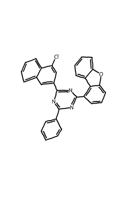 Clc1cc(-c2nc(-c3ccccc3)nc(-c3cccc4oc5ccccc5c34)n2)cc2ccccc12